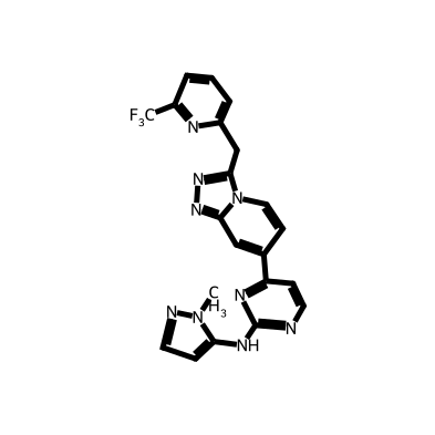 Cn1nccc1Nc1nccc(-c2ccn3c(Cc4cccc(C(F)(F)F)n4)nnc3c2)n1